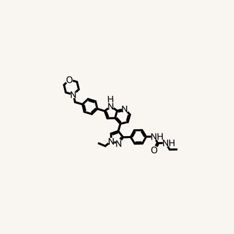 CCNC(=O)Nc1ccc(-c2nn(CC)cc2-c2ccnc3[nH]c(-c4ccc(CN5CCOCC5)cc4)cc23)cc1